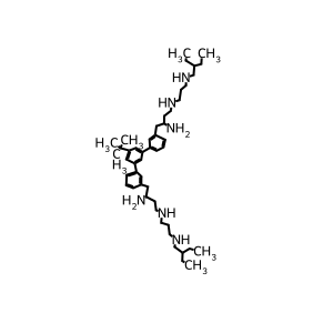 CCC(CC)CNCCCNCCC(N)Cc1cccc(-c2cc(-c3cccc(CC(N)CCNCCCNCC(CC)CC)c3)cc(C(C)(C)C)c2)c1